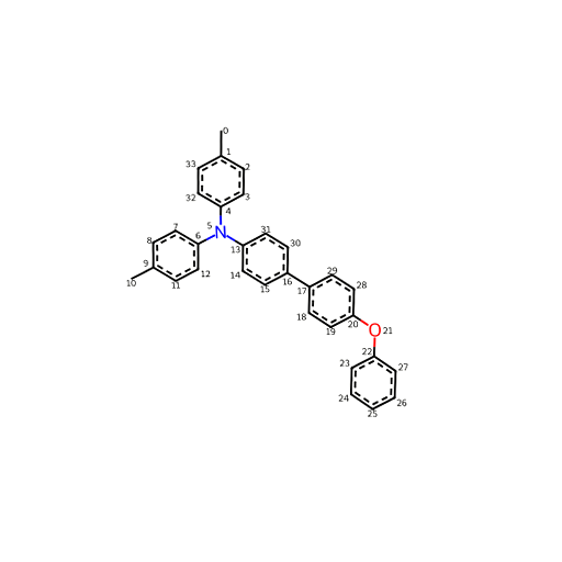 Cc1ccc(N(c2ccc(C)cc2)c2ccc(-c3ccc(Oc4ccccc4)cc3)cc2)cc1